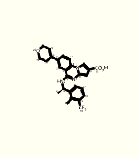 Cc1c([C@@H](C)Nc2nc3cc(C(=O)O)cn3c3ccc(C4=CCOCC4)cc23)cccc1C(F)(F)F